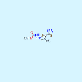 CC(C)(C)OC(=O)NCN1CC(C(F)(F)F)=C(C(N)=S)S1